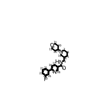 O=C(NCC1CCCN(C2CCOCC2)C1)c1ccc(-c2cccc(F)c2)nc1